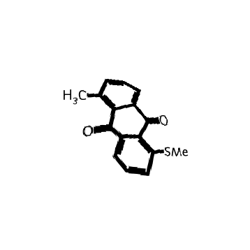 CSc1cccc2c1C(=O)c1cccc(C)c1C2=O